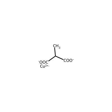 CC(C(=O)[O-])C(=O)[O-].[Cu+2]